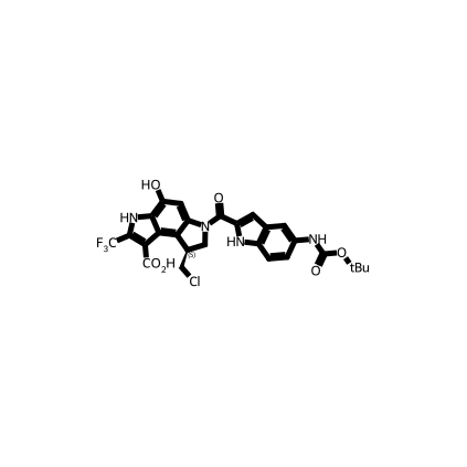 CC(C)(C)OC(=O)Nc1ccc2[nH]c(C(=O)N3C[C@@H](CCl)c4c3cc(O)c3[nH]c(C(F)(F)F)c(C(=O)O)c43)cc2c1